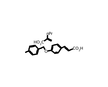 C=C(CCC)C(=O)O.Cc1ccc(COc2ccc(C=CC(=O)O)cc2)cc1